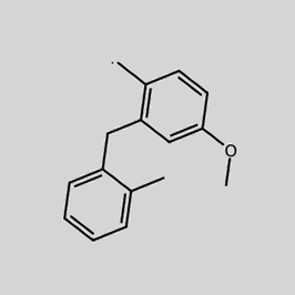 [CH2]c1ccc(OC)cc1Cc1ccccc1C